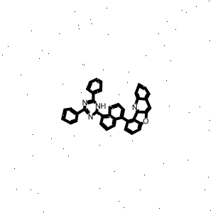 c1ccc(C2=NC(c3cccc4c(-c5cccc6oc7cc8ccccc8nc7c56)cccc34)NC(c3ccccc3)=N2)cc1